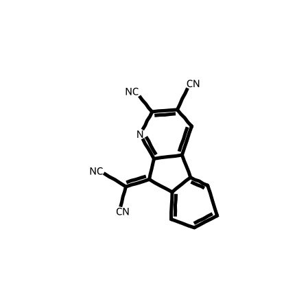 N#CC(C#N)=C1c2ccccc2-c2cc(C#N)c(C#N)nc21